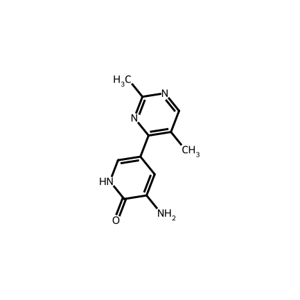 Cc1ncc(C)c(-c2c[nH]c(=O)c(N)c2)n1